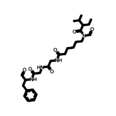 CCC(C(=O)N(C=O)CCCCCC(=O)NCC(=O)NCC(=O)NC(C=O)Cc1ccccc1)C(C)C